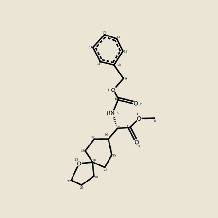 COC(=O)[C@@H](NC(=O)OCc1ccccc1)C1CCC2(CCCO2)CC1